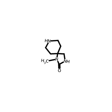 CN1C(=O)NCC12CCNCC2